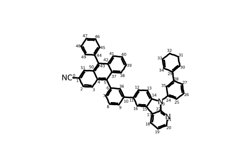 N#Cc1ccc2c(-c3cccc(-c4ccc5c(c4)c4cccnc4n5-c4cccc(C5=CCCC=C5)c4)c3)c3ccccc3c(-c3ccccc3)c2c1